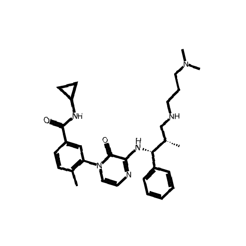 Cc1ccc(C(=O)NC2CC2)cc1-n1ccnc(N[C@@H](c2ccccc2)[C@@H](C)CNCCCN(C)C)c1=O